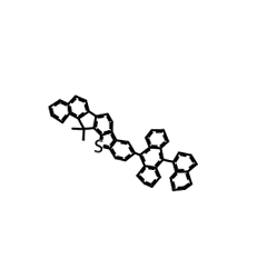 CC1(C)c2c(ccc3ccccc23)-c2ccc3c(sc4ccc(-c5c6ccccc6c(-c6cccc7ccccc67)c6ccccc56)cc43)c21